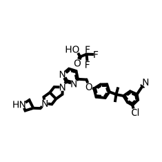 CC(C)(c1ccc(OCc2ccnc(N3CC4CN(CC5CNC5)CC4C3)n2)cc1)c1cc(Cl)cc(C#N)c1.O=C(O)C(F)(F)F